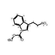 CC(C)(C)OC(=O)n1cc(CC[N+](=O)[O-])c2ccccc21